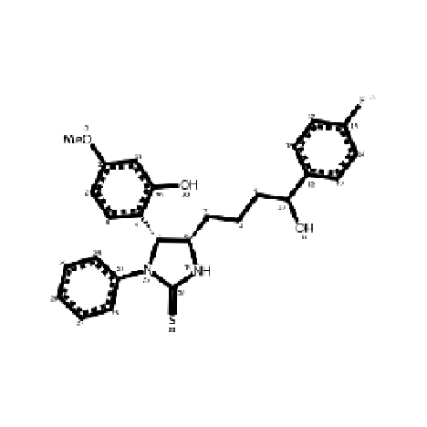 COc1ccc([C@@H]2[C@@H](CCCC(O)c3ccc(F)cc3)NC(=S)N2c2ccccc2)c(O)c1